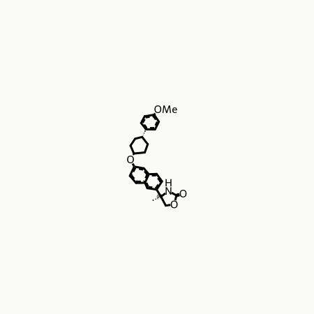 COc1ccc([C@H]2CC[C@@H](Oc3ccc4cc([C@]5(C)COC(=O)N5)ccc4c3)CC2)cc1